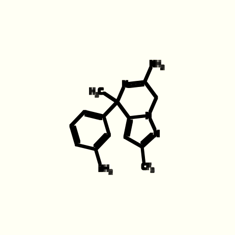 Bc1cccc(C2(C)N=C(N)Cn3nc(C(F)(F)F)cc32)c1